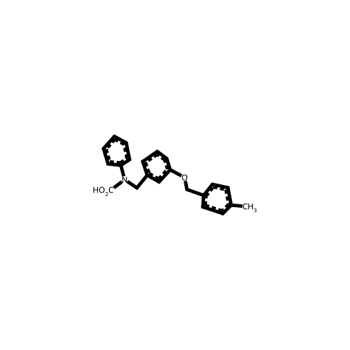 Cc1ccc(COc2cccc(CN(C(=O)O)c3ccccc3)c2)cc1